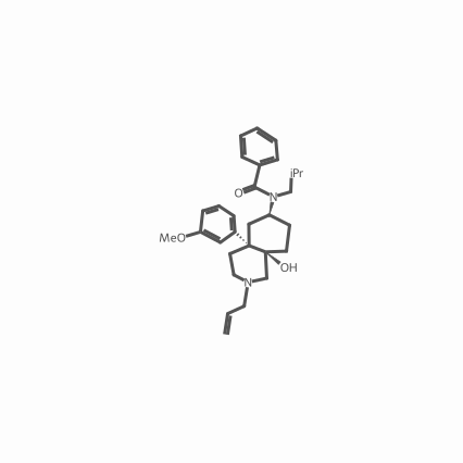 C=CCN1CC[C@@]2(c3cccc(OC)c3)C[C@@H](N(CC(C)C)C(=O)c3ccccc3)CC[C@]2(O)C1